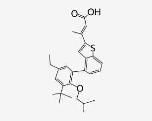 CCc1cc(-c2cccc3sc(/C(C)=C/C(=O)O)cc23)c(OCC(C)C)c(C(C)(C)C)c1